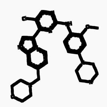 COc1cc(N2CC[N]CC2)ccc1Nc1ncc(Cl)c(-c2cnc3cc(CN4CCOCC4)ccn23)n1